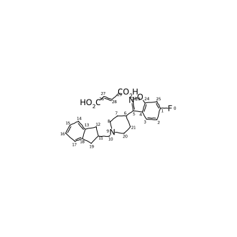 Fc1ccc2c(C3CCN(CC4Cc5ccccc5C4)CC3)noc2c1.O=C(O)/C=C/C(=O)O